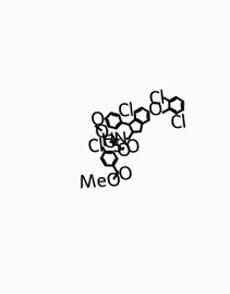 COC(=O)c1ccc(Cl)c(S(=O)(=O)NC(=O)C2Cc3cc(OCc4c(Cl)cccc4Cl)ccc3C2c2cc3c(cc2Cl)OCO3)c1